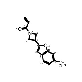 C=CC(=O)N1CC(c2cc3ccc(C(F)(F)F)cc3o2)C1